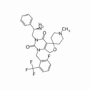 CN1CCC2(CC1)OCc1c2c(=O)n(C[C@H](N)c2ccccc2)c(=O)n1Cc1c(F)cccc1C(F)(F)F